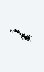 CC(=O)CC(=O)CC(=O)SCCNC(=O)CCNC(=O)[C@@H]1OP(=O)(O)OCC1(C)C